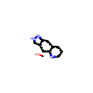 CO.c1cnc2cc3c[nH]nc3cc2c1